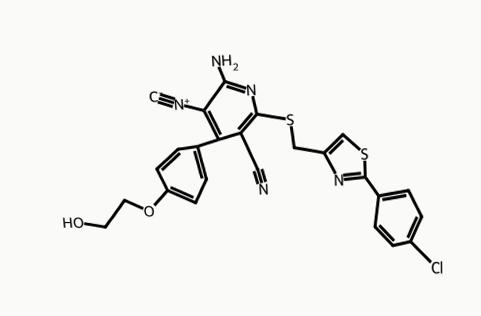 [C-]#[N+]c1c(N)nc(SCc2csc(-c3ccc(Cl)cc3)n2)c(C#N)c1-c1ccc(OCCO)cc1